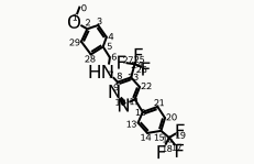 COc1ccc(CNc2nnc(-c3ccc(C(F)(F)F)cc3)cc2C(F)(F)F)cc1